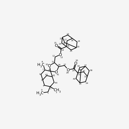 CCC1(C)CC2CC(C)C3(OC(COC(=O)C45CC6CC(CC(C6)C4)C5)C(COC(=O)C45CC6CC(CC(C6)C4)C5)O3)C(C2)C1